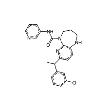 CC(c1cccc(Cl)c1)c1ccc2c(n1)N(C(=O)Nc1cccnc1)CCCN2